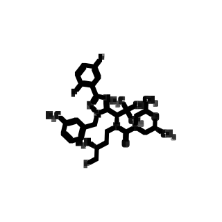 Cc1cccc(Cn2nc(-c3cc(F)ccc3F)nc2[C@H](N(CC[C@H](N)CF)C(=O)N2C[C@@H](C)O[C@@H](C)C2)C(C)(C)C)c1